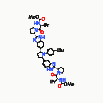 COC(=O)N[C@H](C(=O)N1CCC[C@H]1c1nc2cc([C@H]3CC[C@H](c4ccc5[nH]c([C@@H]6CCCN6C(=O)[C@@H](NC(=O)OC)C(C)C)nc5c4)N3c3ccc(C(C)(C)C)cc3)ccc2[nH]1)C(C)C